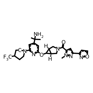 Cn1nc(-c2ccon2)cc1C(=O)N1C[C@@H]2C(Oc3cc(C(C)(C)N)cc(N4CCC(C(F)(F)F)CC4)n3)[C@@H]2C1